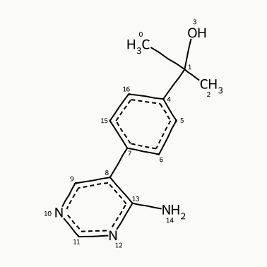 CC(C)(O)c1ccc(-c2cncnc2N)cc1